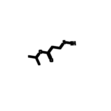 CC(C)OC(=O)CCSS